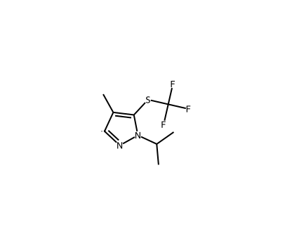 Cc1[c]nn(C(C)C)c1SC(F)(F)F